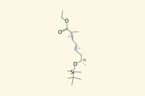 CCOC(=O)/C(C)=C/C=C/C[C@H](C)O[Si](C)(C)C(C)(C)C